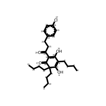 CCCCC1=C(O)C(CCCC)(CCCC)C(=O)C(C(=O)CCc2ccc(Cl)cc2)=C1O